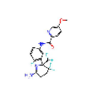 COc1ccc(C(=O)Nc2ccc(F)c([C@@]3(C(F)F)N=C(N)CCC3(F)F)c2)nc1